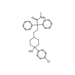 CCN(C)C(=O)C(CCC1CCC(O)(c2ccc(Cl)cc2)CC1)(c1ccccc1)c1ccccc1